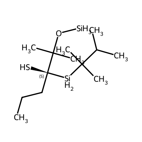 CCC[C@@](S)([SiH2]C(C)(C)C(C)C)C(C)(C)O[SiH3]